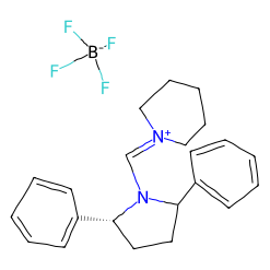 C(N1C(c2ccccc2)CC[C@@H]1c1ccccc1)=[N+]1CCCCC1.F[B-](F)(F)F